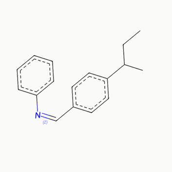 CCC(C)c1ccc(/C=N\c2ccccc2)cc1